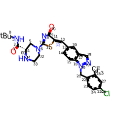 CC(C)(C)NC(=O)[C@@H]1CN(C2=NC(=O)/C(=C/c3ccc4c(cnn4Cc4ccc(Cl)cc4C(F)(F)F)c3)S2)CCN1